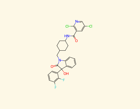 O=C(NC1CCC(CN2C(=O)C(O)(c3cccc(F)c3F)c3ccccc32)CC1)c1cc(Cl)cnc1Cl